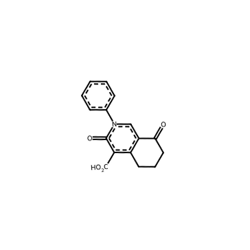 O=C1CCCc2c1cn(-c1ccccc1)c(=O)c2C(=O)O